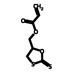 C=CC(=O)OCC1CSC(=S)O1